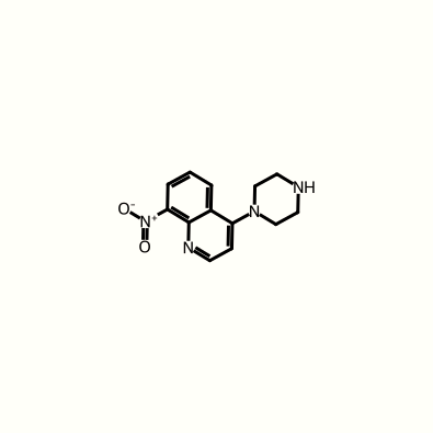 O=[N+]([O-])c1cccc2c(N3CCNCC3)ccnc12